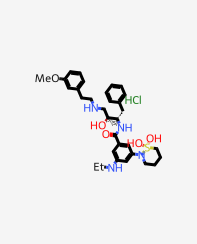 CCNc1cc(C(=O)N[C@@H](Cc2ccccc2)[C@@H](O)CNCCc2cccc(OC)c2)cc(N2CCCCS2(O)O)c1.Cl